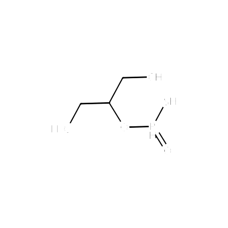 CCC(CC)O[PH](=O)S